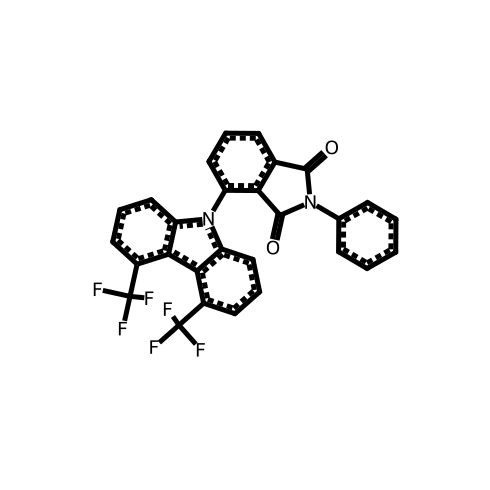 O=C1c2cccc(-n3c4cccc(C(F)(F)F)c4c4c(C(F)(F)F)cccc43)c2C(=O)N1c1ccccc1